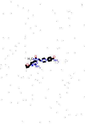 Cn1c(=O)n(CCN2CCN(c3ccc(C(N)=O)cc3)CC2)c2nc(N)n3nc(-c4ccco4)cc3c21